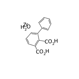 O.O=C(O)c1cccc(-c2ccccc2)c1C(=O)O.[Zr]